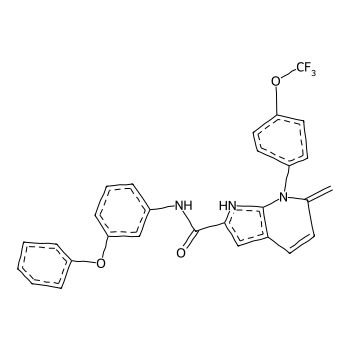 C=C1C=Cc2cc(C(=O)Nc3cccc(Oc4ccccc4)c3)[nH]c2N1c1ccc(OC(F)(F)F)cc1